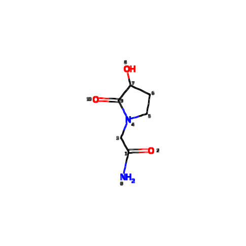 NC(=O)CN1CCC(O)C1=O